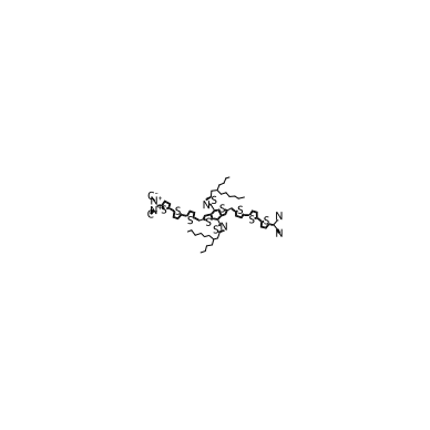 [C-]#[N+]C([N+]#[C-])=c1cc/c(=c2/cc/c(=c3/cc/c(=C\c4cc5c(-c6ncc(CC(CCCC)CCCCCC)s6)c6sc(/C=c7\cc/c(=c8/cc/c(=c9/ccc(=C(C#N)C#N)s9)s8)s7)cc6c(-c6ncc(CC(CCCC)CCCCCC)s6)c5s4)s3)s2)s1